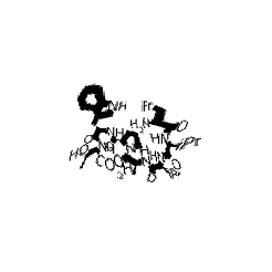 CC(C)C[C@H](N)C(=O)N[C@H](C(=O)N[C@H](C(=O)N[C@@H](C)C(=O)N1CCC[C@H]1C(=O)N[C@@H](Cc1c[nH]c2ccccc12)C(=O)N[C@H](C(=O)O)[C@@H](C)O)C(C)C)C(C)C